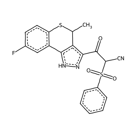 CC1Sc2ccc(F)cc2-c2[nH]nc(C(=O)C(C#N)S(=O)(=O)c3ccccc3)c21